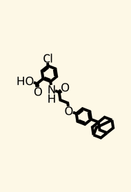 O=C(CCOc1ccc(C23CC4CC(CC(C4)C2)C3)cc1)Nc1ccc(Cl)cc1C(=O)O